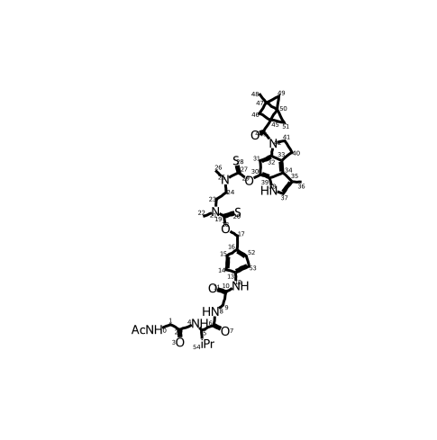 CC(=O)NCC(=O)NC(C(=O)NCC(=O)Nc1ccc(COC(=S)N(C)CCN(C)C(=S)Oc2cc3c(c4c(C)c[nH]c24)CCN3C(=O)C23CC4(C)CC42C3)cc1)C(C)C